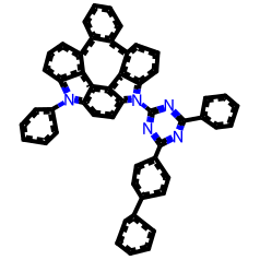 c1ccc(-c2ccc(-c3nc(-c4ccccc4)nc(-n4c5cccc6c7ccccc7c7cccc8c7c7c(c65)c4ccc7n8-c4ccccc4)n3)cc2)cc1